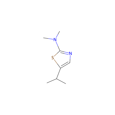 CC(C)c1cnc(N(C)C)s1